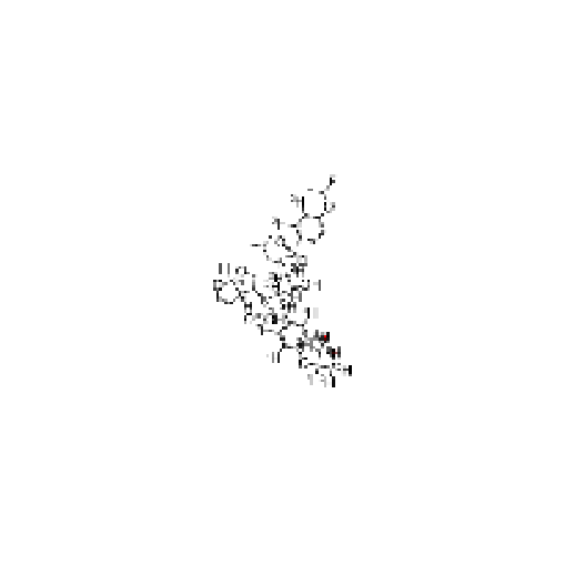 [2H]c1c(OC(F)F)ccc(S(=O)(=O)N(CC(C)C)C([2H])([2H])[C@@]([2H])(O)[C@@]([2H])(N(C(=O)O)C2CO[C@@H]3OC=C[C@@H]23)C([2H])([2H])c2c([2H])c([2H])c(OC([2H])(C([2H])([2H])[2H])C([2H])([2H])[2H])c([2H])c2[2H])c1[2H]